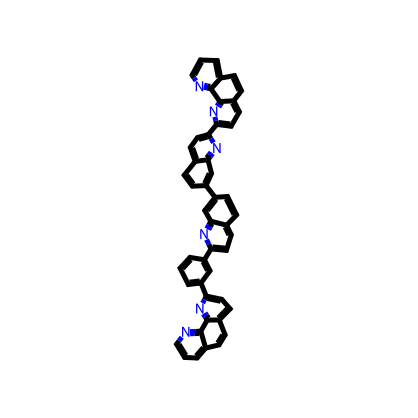 c1cc(-c2ccc3ccc(-c4ccc5ccc(-c6ccc7ccc8cccnc8c7n6)nc5c4)cc3n2)cc(-c2ccc3ccc4cccnc4c3n2)c1